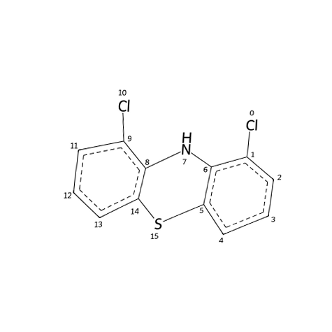 Clc1cccc2c1Nc1c(Cl)cccc1S2